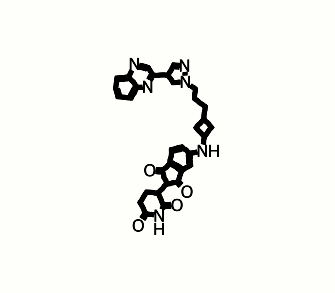 O=C1CCC(C2C(=O)c3ccc(NC4CC(CCCN5CC(c6cnc7ccccc7n6)C=N5)C4)cc3C2=O)C(=O)N1